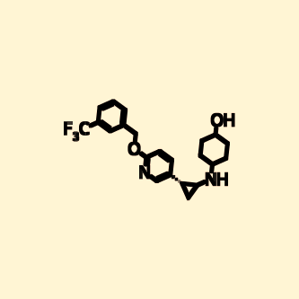 OC1CCC(NC2C[C@@H]2c2ccc(OCc3cccc(C(F)(F)F)c3)nc2)CC1